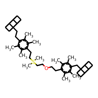 Cc1c(C)c(CCS(C)(C)CCOCCc2c(C)c(C)c(CC34C5C6C7C5C3C7C64)c(C)c2C)c(C)c(C)c1CCC12C3C4C5C3C1C5C42